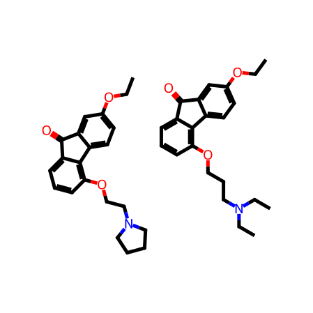 CCOc1ccc2c(c1)C(=O)c1cccc(OCCCN(CC)CC)c1-2.CCOc1ccc2c(c1)C(=O)c1cccc(OCCN3CCCC3)c1-2